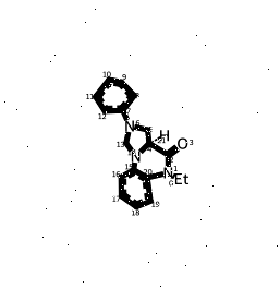 CCN1C(=O)[C@@H]2CN(c3ccccc3)CN2c2ccccc21